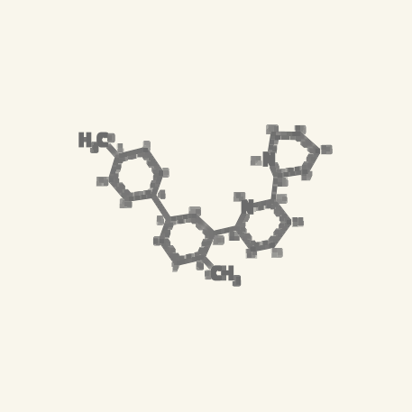 Cc1ccc(-c2ccc(C)c(-c3cccc(-c4ccccn4)n3)c2)cc1